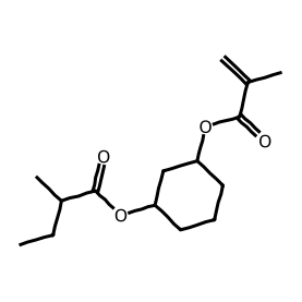 C=C(C)C(=O)OC1CCCC(OC(=O)C(C)CC)C1